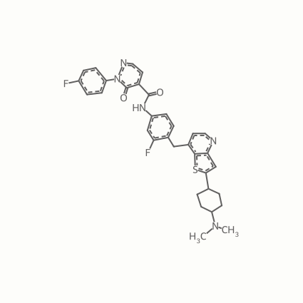 CN(C)C1CCC(c2cc3nccc(Cc4ccc(NC(=O)c5ccnn(-c6ccc(F)cc6)c5=O)cc4F)c3s2)CC1